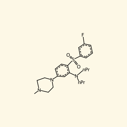 CCCN(CCC)c1cc(N2CCN(C)CC2)ccc1S(=O)(=O)c1cccc(F)c1